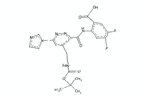 CC(C)(C)OC(=O)NCc1cc(-n2ccnc2)nnc1C(=O)Nc1cc(F)c(F)cc1C(=O)O